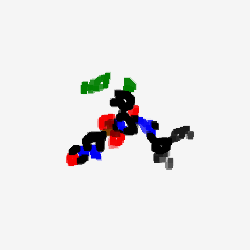 Cc1cc(F)ccc1[C@@H]1CN(S(=O)(=O)c2ccc(N3CCOCC3)nc2)CC[C@H]1C(=O)N(C)Cc1cc(C(F)(F)F)cc(C(F)(F)F)c1.Cl